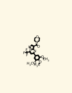 COc1cc(-c2cc(C(F)(F)F)n3ncc(C(=O)N4CCOCC4)c3n2)cc(OC)c1OC